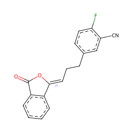 N#Cc1cc(CC/C=C2\OC(=O)c3ccccc32)ccc1F